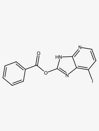 O=C(Oc1nc2c(I)ccnc2[nH]1)c1ccccc1